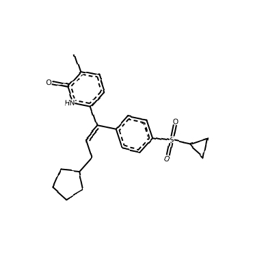 Cc1ccc(C(=CCC2CCCC2)c2ccc(S(=O)(=O)C3CC3)cc2)[nH]c1=O